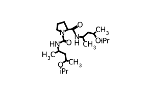 CC(CC(C)OC(C)C)NC(=O)C1CCCN1C(=O)NC(C)CC(C)OC(C)C